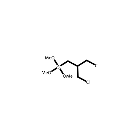 CO[Si](CC(CCl)CCl)(OC)OC